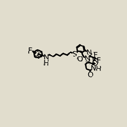 O=C1CC[C@H](n2c(C(F)(F)F)nc3cccc(SCCCCCCCNC45CCC(F)(CC4)CC5)c3c2=O)C(=O)N1